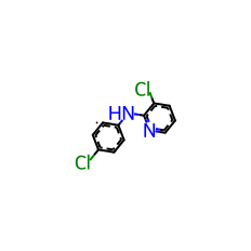 Clc1c[c]c(Nc2ncccc2Cl)cc1